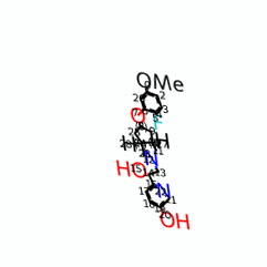 COc1ccc(F)c(O[C@H]2C[C@@H]3CN(CC(O)c4ccc(O)cn4)C[C@@H]3C2)c1